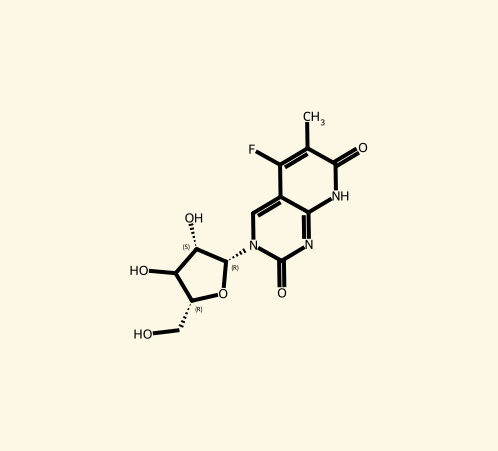 Cc1c(F)c2cn([C@@H]3O[C@H](CO)C(O)[C@@H]3O)c(=O)nc2[nH]c1=O